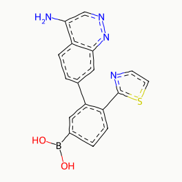 Nc1cnnc2cc(-c3cc(B(O)O)ccc3-c3nccs3)ccc12